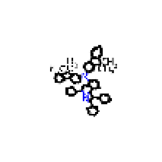 CC1(C)c2ccccc2-c2ccc(N(c3ccc4c(c3)C(C)(C)c3ccccc3-4)c3cccc4c3cc(-c3ccccc3)n3nc(-c5ccccc5)c(-c5ccccc5)c43)cc21